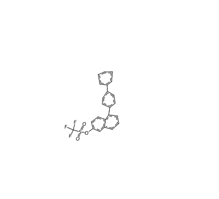 O=S(=O)(Oc1ccc2c(-c3ccc(-c4ccccc4)cc3)cccc2c1)C(F)(F)F